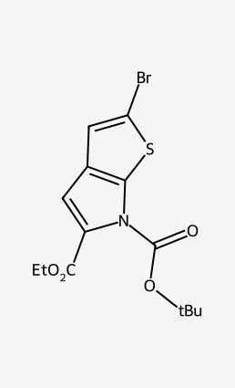 CCOC(=O)c1cc2cc(Br)sc2n1C(=O)OC(C)(C)C